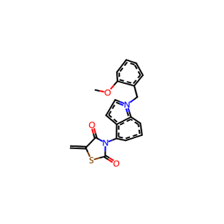 C=C1SC(=O)N(c2cccc3c2ccn3Cc2ccccc2OC)C1=O